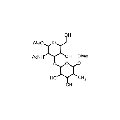 COOC1OC(OC2C(O)C(CO)OC(OC)C2NC(C)=O)C(O)C(O)C1C